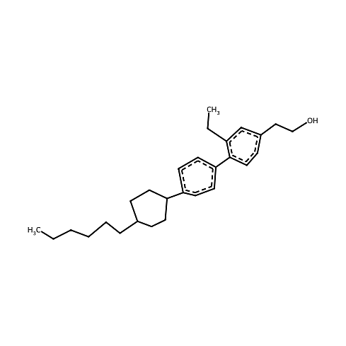 CCCCCCC1CCC(c2ccc(-c3ccc(CCO)cc3CC)cc2)CC1